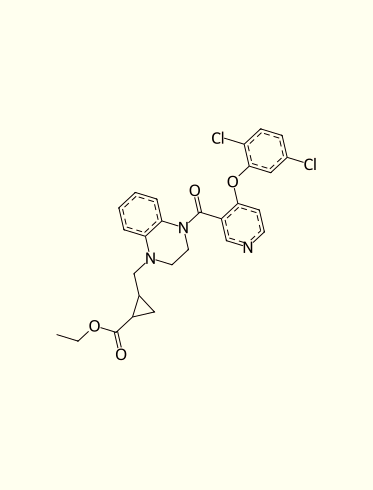 CCOC(=O)C1CC1CN1CCN(C(=O)c2cnccc2Oc2cc(Cl)ccc2Cl)c2ccccc21